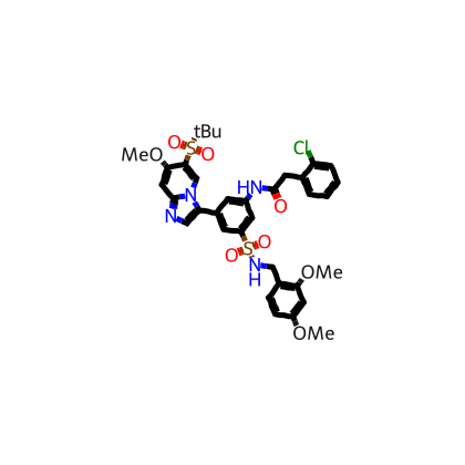 COc1ccc(CNS(=O)(=O)c2cc(NC(=O)Cc3ccccc3Cl)cc(-c3cnc4cc(OC)c(S(=O)(=O)C(C)(C)C)cn34)c2)c(OC)c1